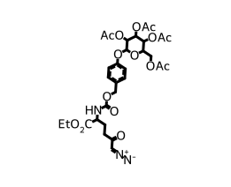 CCOC(=O)C(CCC(=O)C=[N+]=[N-])NC(=O)OCc1ccc(OC2OC(COC(C)=O)C(OC(C)=O)C(OC(C)=O)C2OC(C)=O)cc1